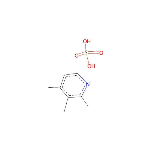 Cc1ccnc(C)c1C.O=S(=O)(O)O